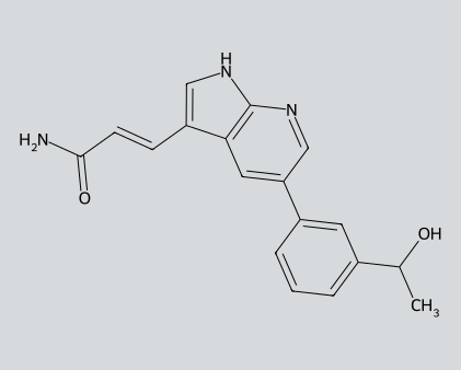 CC(O)c1cccc(-c2cnc3[nH]cc(/C=C/C(N)=O)c3c2)c1